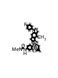 CNC(=O)Nc1ccc(S(=O)(=O)N(CC2CC2)C[C@H]2CCC3=C2[C@@H](C)c2cnn(-c4ccc(F)cc4)c2C3)c(Cl)c1